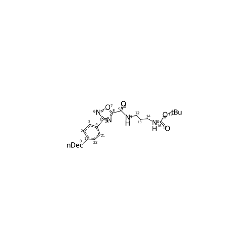 CCCCCCCCCCc1ccc(-c2noc(C(=O)NCCCNC(=O)OC(C)(C)C)n2)cc1